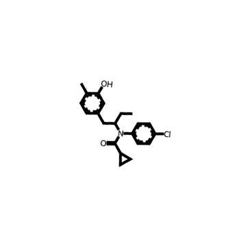 CCC(Cc1ccc(C)c(O)c1)N(C(=O)C1CC1)c1ccc(Cl)cc1